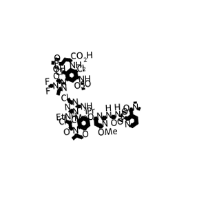 CC1COc2ccccc2N1C(=O)C(Cl)Cl.CCNc1nc(Cl)nc(NC(C)C)n1.COc1cc(OC)nc(NC(=O)NS(=O)(=O)c2ncccc2C(=O)N(C)C)n1.CP(=O)(O)CCC(N)C(=O)O.Cc1nn(-c2cc(NS(C)(=O)=O)c(Cl)cc2Cl)c(=O)n1C(F)F